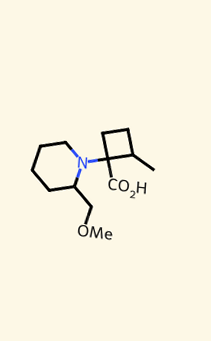 COCC1CCCCN1C1(C(=O)O)CCC1C